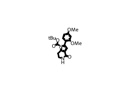 COc1ccc(-c2cc3c(n2C(=O)OC(C)(C)C)CCNC3=O)c(OC)c1